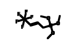 CO[Si](CC=CS(F)(F)(F)(F)F)(OC)OC